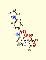 CC(C)CC(NC(=O)c1ccc(N2CCCC2)cc1)C(=O)NC1C(=O)COC1C